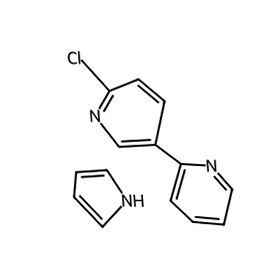 Clc1ccc(-c2ccccn2)cn1.c1cc[nH]c1